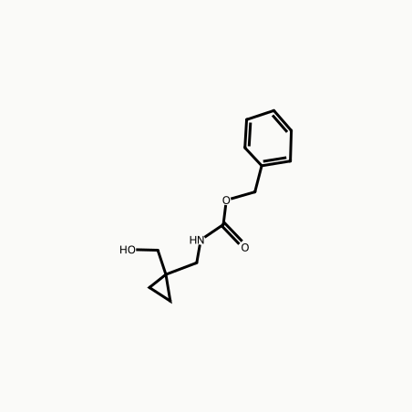 O=C(NCC1(CO)CC1)OCc1ccccc1